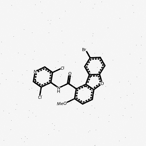 COc1ccc2oc3ccc(Br)cc3c2c1C(=O)Nc1c(Cl)cncc1Cl